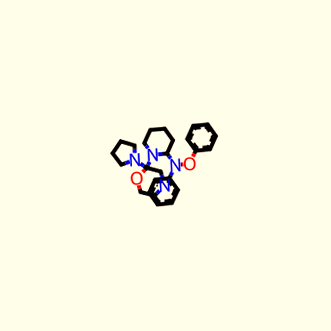 c1ccc(ON(c2ccccc2)C2CCCCN2C2(N3CCCC3)C[N]CCO2)cc1